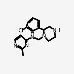 Cc1nccc(NCN2CCNCC2c2cccc(Cl)c2)n1